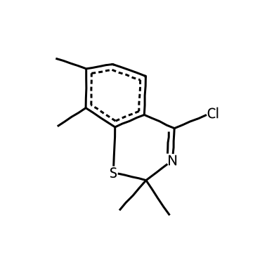 Cc1ccc2c(c1C)SC(C)(C)N=C2Cl